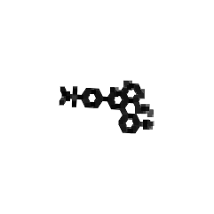 CN(C)C(C)(C)c1ccc(-c2cc(-c3cccc(Br)c3)c3c(N)ncnc3n2)cc1